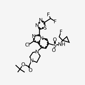 CC(C)(C)OC(=O)N1CCN(c2cc(S(=O)(=O)NC3(CF)CC3)cn3c(-c4nnc(C(F)F)s4)nc(Cl)c23)CC1